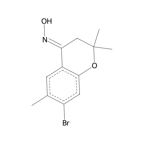 Cc1cc2c(cc1Br)OC(C)(C)CC2=NO